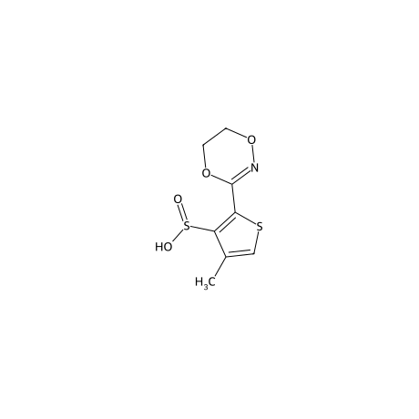 Cc1csc(C2=NOCCO2)c1S(=O)O